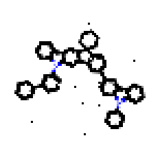 c1ccc(-c2cccc(-n3c4ccccc4c4cc5c(cc43)-c3cc(-c4ccc6c(c4)c4ccccc4n6-c4ccccc4)ccc3C53CCCCC3)c2)cc1